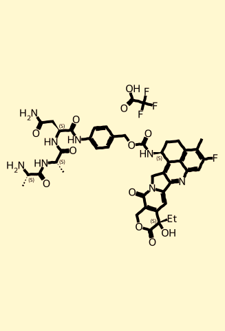 CC[C@@]1(O)C(=O)OCc2c1cc1n(c2=O)Cc2c-1nc1cc(F)c(C)c3c1c2[C@@H](NC(=O)OCc1ccc(NC(=O)[C@H](CC(N)=O)NC(=O)[C@H](C)NC(=O)[C@H](C)N)cc1)CC3.O=C(O)C(F)(F)F